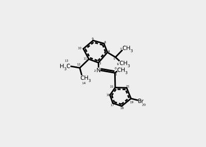 CC(=Nc1c(C(C)C)cccc1C(C)C)c1cccc(Br)c1